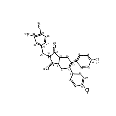 O=C1C2CC(c3ccc(Cl)cc3)=C(c3ccc(Cl)cc3)CC2C(=O)N1Cc1ccc(F)c(F)c1